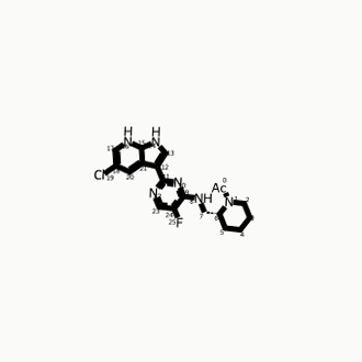 CC(=O)N1CCCC[C@@H]1CNc1nc(C2=CNC3NC=C(Cl)C=C23)ncc1F